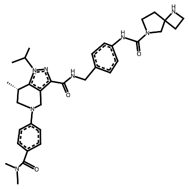 CC(C)n1nc(C(=O)NCc2ccc(NC(=O)N3CCC4(CCN4)C3)cc2)c2c1[C@@H](C)CN(c1ccc(C(=O)N(C)C)cc1)C2